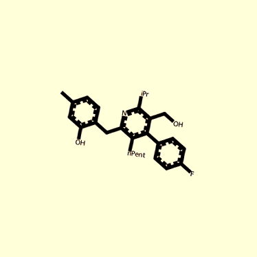 CCCCCc1c(Cc2ccc(C)cc2O)nc(C(C)C)c(CO)c1-c1ccc(F)cc1